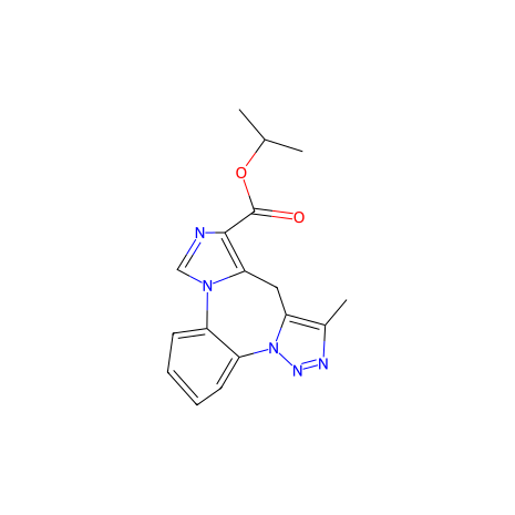 Cc1nnn2c1Cc1c(C(=O)OC(C)C)ncn1-c1ccccc1-2